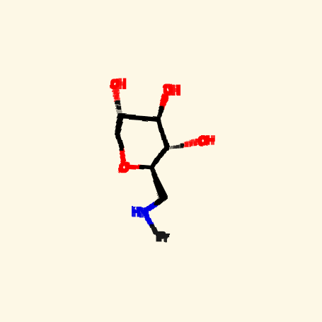 CC(C)NC[C@H]1OC[C@H](O)[C@@H](O)[C@@H]1O